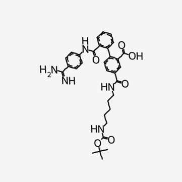 CC(C)(C)OC(=O)NCCCCCNC(=O)c1ccc(-c2ccccc2C(=O)Nc2ccc(C(=N)N)cc2)c(C(=O)O)c1